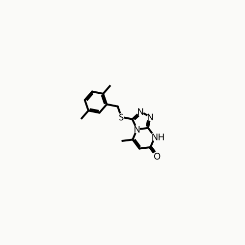 Cc1ccc(C)c(CSc2nnc3[nH]c(=O)cc(C)n23)c1